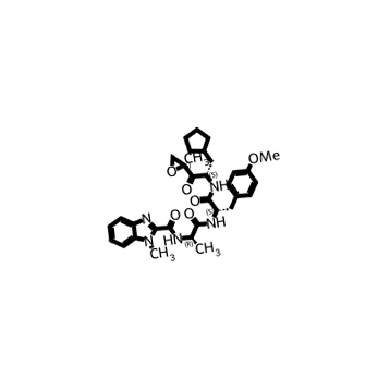 COc1ccc(C[C@H](NC(=O)[C@@H](C)NC(=O)c2nc3ccccc3n2C)C(=O)N[C@@H](CC2CCCC2)C(=O)[C@]2(C)CO2)cc1